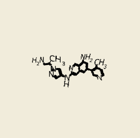 Cc1ccncc1-c1cc(N)c2cnc(Nc3cnn([C@@H](C)CN)c3)cc2c1